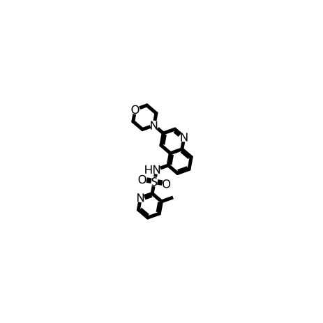 Cc1cccnc1S(=O)(=O)Nc1cccc2ncc(N3CCOCC3)cc12